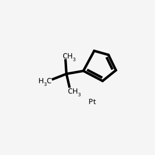 CC(C)(C)C1=CC=CC1.[Pt]